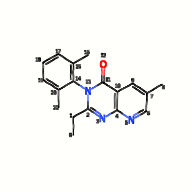 CCc1nc2ncc(C)cc2c(=O)n1-c1c(C)cccc1C